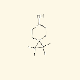 CC1(C)C(C)(C)C12CCC(O)CC2